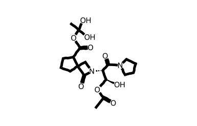 CC(=O)O[C@H](O)[C@@H](C(=O)N1CCCC1)N1CC2(CCCC2C(=O)OC(C)(O)O)C1=O